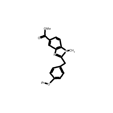 COC(=O)c1ccc2c(c1)nc(Cc1ccc(OC(C)C)cc1)n2C